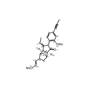 CC#Cc1ccc(C2C(=O)[C@H]3C4CC(/C=N/OC)C(O4)[C@H]3/C2=N/C)c(OC)c1